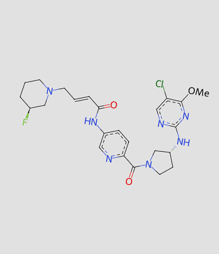 COc1nc(N[C@@H]2CCN(C(=O)c3ccc(NC(=O)/C=C/CN4CCC[C@H](F)C4)cn3)C2)ncc1Cl